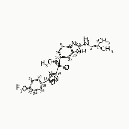 CC(C)=CNc1nc2ccc(N(C)C(=O)c3noc(-c4ccc(C(F)(F)F)cc4)n3)cc2[nH]1